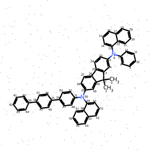 CC1(C)c2cc(N(c3ccccc3)c3cccc4ccccc34)ccc2-c2ccc(N(c3ccc(-c4ccc(-c5ccccc5)cc4)cc3)c3cccc4ccccc34)cc21